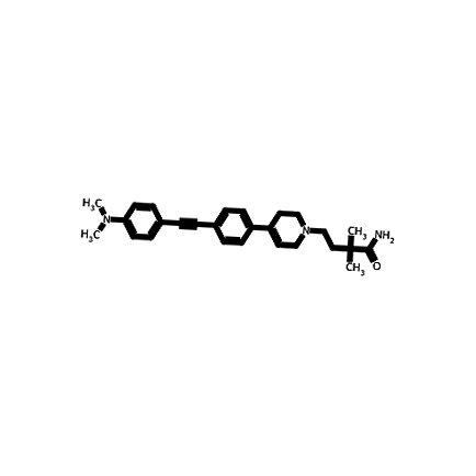 CN(C)c1ccc(C#Cc2ccc(C3=CCN(CCC(C)(C)C(N)=O)CC3)cc2)cc1